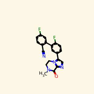 CN1CCn2c(-c3ccc(F)c(-c4cc(F)ccc4C#N)c3)cnc2C1=O